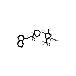 C[C@]1(C(=O)OCc2cccc3ccccc23)CC[C@@H](Oc2cc(C(=O)O)c(OCF)cc2F)CC1